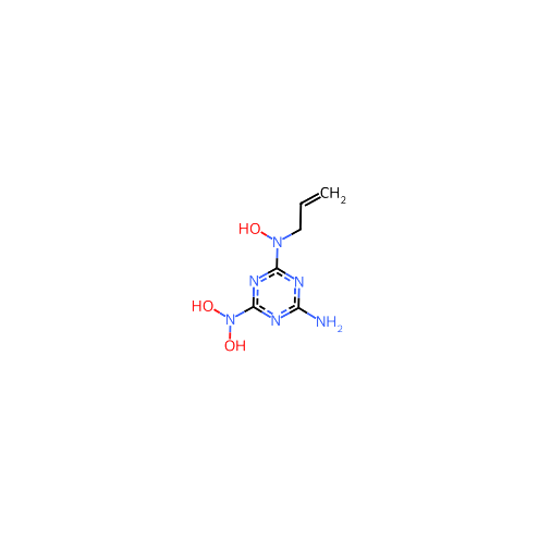 C=CCN(O)c1nc(N)nc(N(O)O)n1